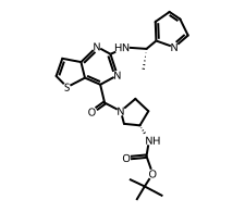 C[C@H](Nc1nc(C(=O)N2CC[C@H](NC(=O)OC(C)(C)C)C2)c2sccc2n1)c1ccccn1